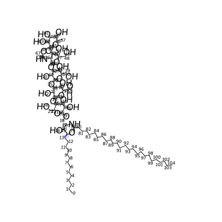 CCCCCCCCCCCCC/C=C/[C@@H](O)[C@H](CO[C@@H]1OC(CO)[C@@H](O[C@@H]2OC(CO)[C@H](O)[C@H](O[C@H]3OC(CO)[C@H](O)[C@H](O[C@@H]4OC(CO)[C@@H](O)[C@H](O[C@H]5OC(C)[C@@H](O)C(O)[C@@H]5O)C4NC(C)=O)C3O)C2O)[C@H](O)C1O)NC(=O)CCCCCCCCCCCCCCCCCCCCCCCCC